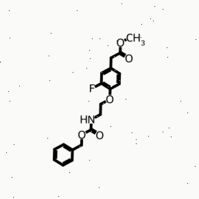 COC(=O)Cc1ccc(OCCNC(=O)OCc2ccccc2)c(F)c1